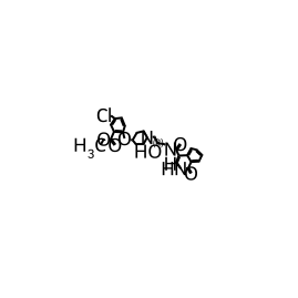 COC(=O)c1cc(Cl)ccc1OC1CCN(C[C@H](O)CNC(=O)c2c[nH]c(=O)c3ccccc23)CC1